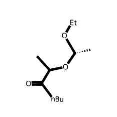 CCCCC(=O)C(C)O[C@@H](C)OCC